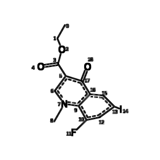 CCOC(=O)c1cn(C)c2c(F)cc(I)cc2c1=O